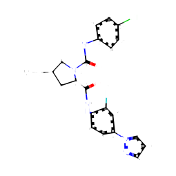 CO[C@@H]1C[C@H](C(=O)Nc2ccc(-n3cccn3)cc2F)N(C(=O)Nc2ccc(Cl)cc2)C1